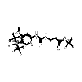 COc1cc(NC(=O)NCCC(=O)OC(C)(C)C)ncc1[Si](F)(C(C)(C)C)C(C)(C)C